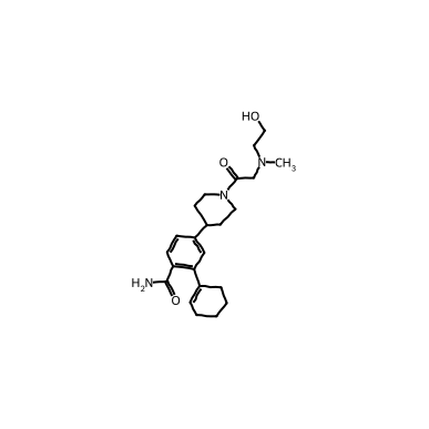 CN(CCO)CC(=O)N1CCC(c2ccc(C(N)=O)c(C3=CCCCC3)c2)CC1